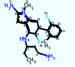 CCC(CCN)NC1=c2cc(N)n(C)c2=CC(c2c(C)cccc2F)C1F